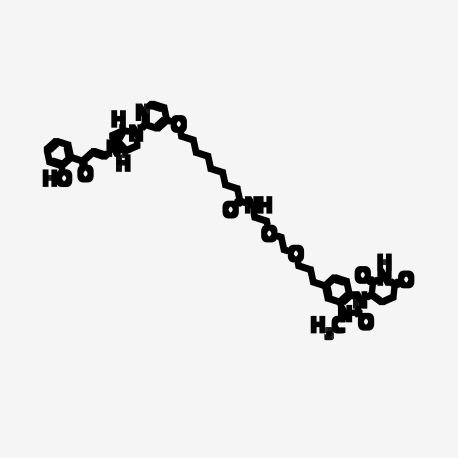 Cn1c(=O)n(C2CCC(=O)NC2=O)c2ccc(CCCOCCOCCNC(=O)CCCCCCCCOc3ccnc(N4C[C@H]5C[C@@H]4CN5/C=C/C(=O)c4ccccc4O)c3)cc21